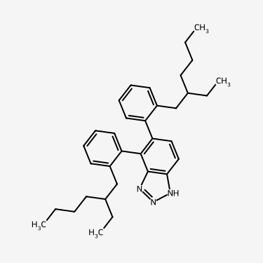 CCCCC(CC)Cc1ccccc1-c1ccc2[nH]nnc2c1-c1ccccc1CC(CC)CCCC